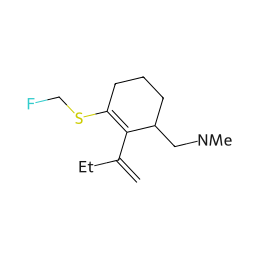 C=C(CC)C1=C(SCF)CCCC1CNC